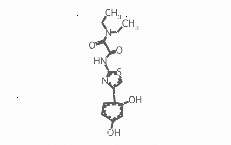 CCN(CC)C(=O)C(=O)Nc1nc(-c2ccc(O)cc2O)cs1